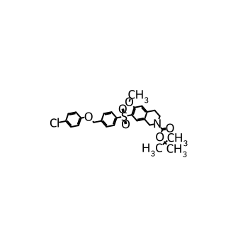 COc1cc2c(cc1S(=O)(=O)c1ccc(COc3ccc(Cl)cc3)cc1)CN(C(=O)OC(C)(C)C)CC2